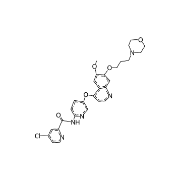 COc1cc2c(Oc3ccc(NC(=O)c4cc(Cl)ccn4)nc3)ccnc2cc1OCCCN1CCOCC1